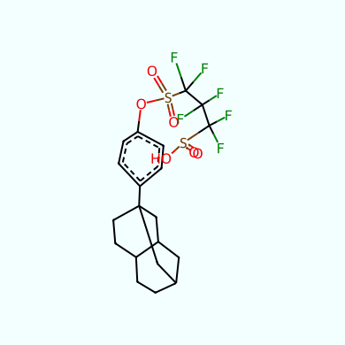 O=S(=O)(O)C(F)(F)C(F)(F)C(F)(F)S(=O)(=O)Oc1ccc(C23CCC4CCC(CC4C2)C3)cc1